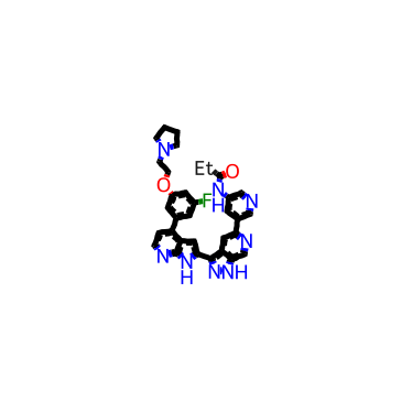 CCC(=O)Nc1cncc(-c2cc3c(-c4cc5c(-c6cc(F)cc(OCCN7CCCC7)c6)ccnc5[nH]4)n[nH]c3cn2)c1